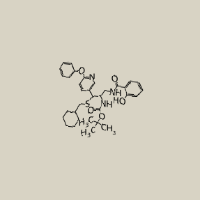 CC(C)(C)OC(=O)NC(CNC(=O)c1ccccc1O)C(SCC1CCCCC1)c1ccc(Oc2ccccc2)nc1